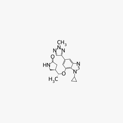 C[C@@H](Oc1cc(-c2cnn(C)n2)cc2ncn(C3CC3)c12)[C@H]1CNC(=O)C1